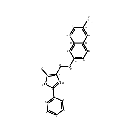 Cc1oc(-c2ccccc2)nc1COc1ccc2cc(N)cnc2c1